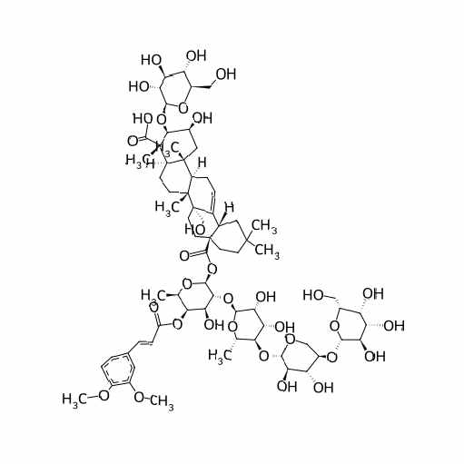 COc1ccc(/C=C/C(=O)O[C@@H]2[C@H](O)[C@@H](O[C@@H]3O[C@@H](C)[C@H](O[C@@H]4OC[C@@H](O[C@@H]5O[C@H](CO)[C@H](O)[C@H](O)[C@H]5O)[C@H](O)[C@H]4O)[C@@H](O)[C@H]3O)[C@H](OC(=O)[C@]34CCC(C)(C)C[C@H]3C3=CC[C@@H]5[C@@]6(C)C[C@H](O)[C@H](O[C@@H]7O[C@H](CO)[C@@H](O)[C@H](O)[C@H]7O)[C@@](C)(C(=O)O)[C@@H]6CC[C@@]5(C)[C@]3(CO)CC4)O[C@@H]2C)cc1OC